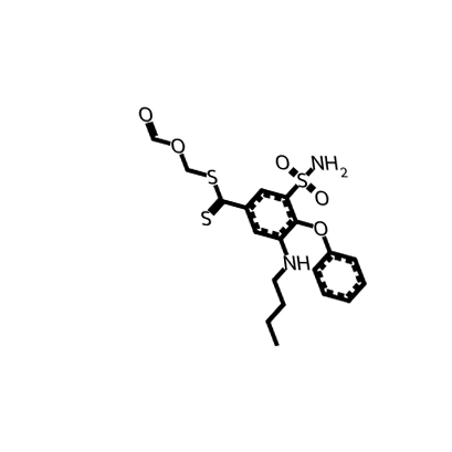 CCCCNc1cc(C(=S)SCOC=O)cc(S(N)(=O)=O)c1Oc1ccccc1